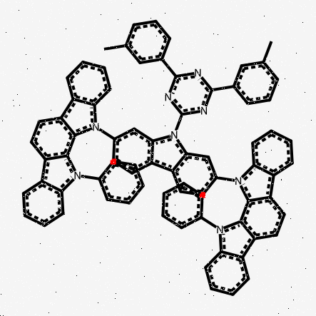 Cc1cccc(-c2nc(-c3cccc(C)c3)nc(-n3c4cc(-n5c6ccccc6c6ccc7c8ccccc8n(-c8ccccc8)c7c65)ccc4c4ccc(-n5c6ccccc6c6ccc7c8ccccc8n(-c8ccccc8)c7c65)cc43)n2)c1